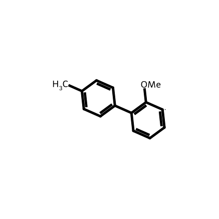 COc1[c]cccc1-c1ccc(C)cc1